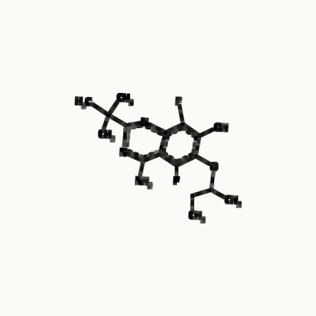 CCC(C)Oc1c(O)c(F)c2nc(C(C)(C)C)nc(N)c2c1F